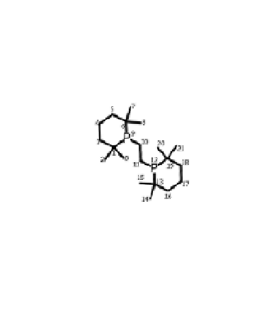 CC1(C)CCCC(C)(C)P1CCP1C(C)(C)CCCC1(C)C